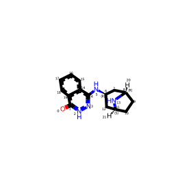 O=c1[nH]nc(N[C@H]2C[C@H]3CC[C@@H](C2)N3)c2ccccc12